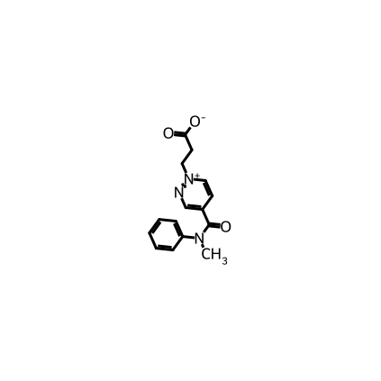 CN(C(=O)c1cc[n+](CCC(=O)[O-])nc1)c1ccccc1